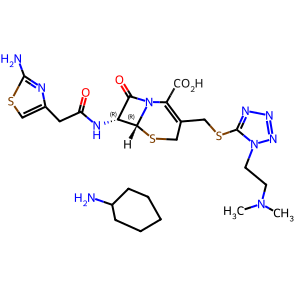 CN(C)CCn1nnnc1SCC1=C(C(=O)O)N2C(=O)[C@@H](NC(=O)Cc3csc(N)n3)[C@H]2SC1.NC1CCCCC1